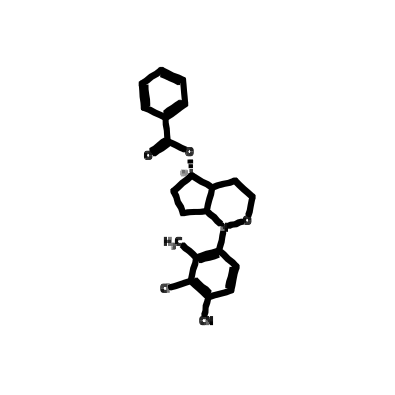 Cc1c(N2OCCC3C2CC[C@@H]3OC(=O)c2ccccc2)ccc(C#N)c1Cl